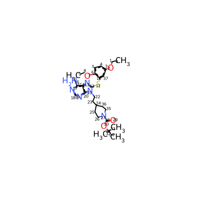 CCOc1ccc(OCC)c(Sc2nc3c(N)ncnc3n2CCC2CCN(C(=O)OC(C)(C)C)CC2)c1